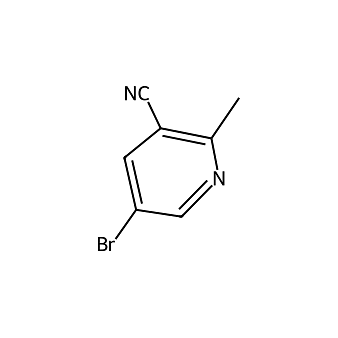 Cc1ncc(Br)cc1C#N